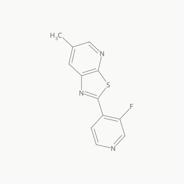 Cc1cnc2sc(-c3ccncc3F)nc2c1